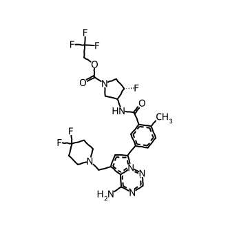 Cc1ccc(-c2cc(CN3CCC(F)(F)CC3)c3c(N)ncnn23)cc1C(=O)NC1CN(C(=O)OCC(F)(F)F)C[C@@H]1F